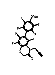 C#CCN1C(=O)COc2c(F)c(F)c(-c3c(F)c(F)c(SC)c(F)c3F)c(F)c21